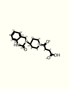 O=C(O)CCC(=O)N1CCC(N2Cc3ccccc3NC2=O)CC1